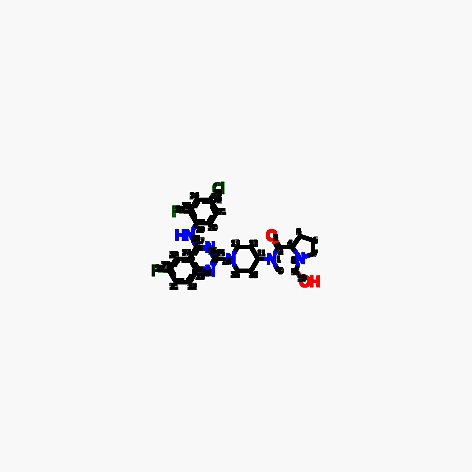 CN(C(=O)C1CCCN1CO)C1CCN(c2nc(Nc3ccc(Cl)cc3F)c3cc(F)ccc3n2)CC1